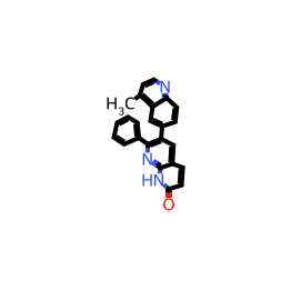 Cc1ccnc2ccc(-c3cc4ccc(=O)[nH]c4nc3-c3ccccc3)cc12